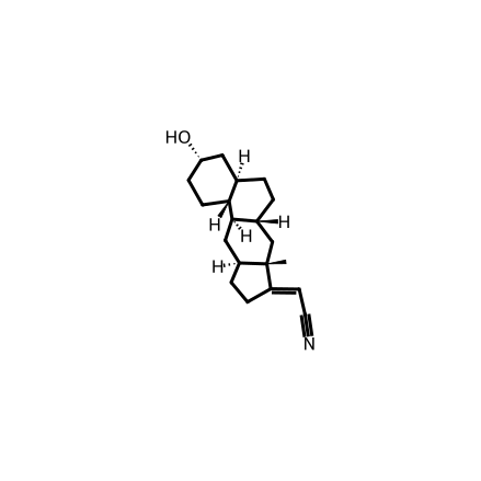 C[C@]12C[C@H]3CC[C@@H]4C[C@@H](O)CC[C@H]4[C@@H]3C[C@@H]1CC/C2=C\C#N